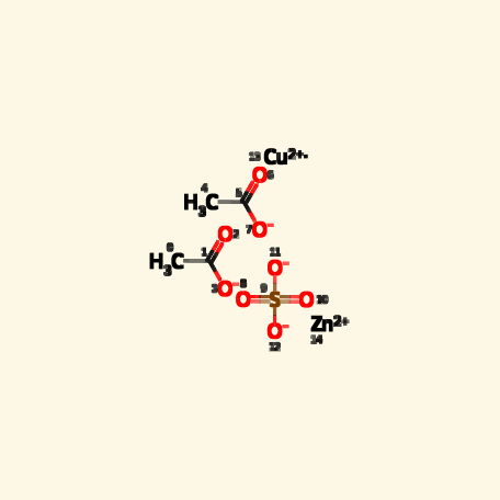 CC(=O)[O-].CC(=O)[O-].O=S(=O)([O-])[O-].[Cu+2].[Zn+2]